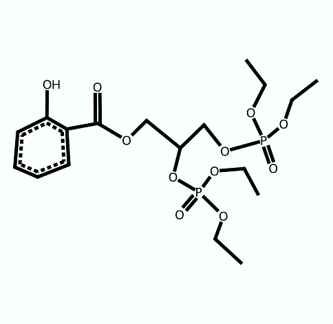 CCOP(=O)(OCC)OCC(COC(=O)c1ccccc1O)OP(=O)(OCC)OCC